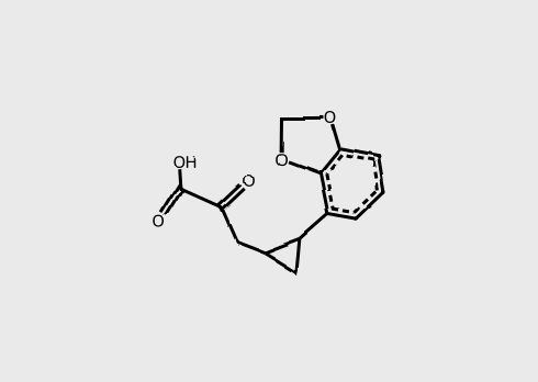 O=C(O)C(=O)CC1CC1c1cccc2c1OCO2